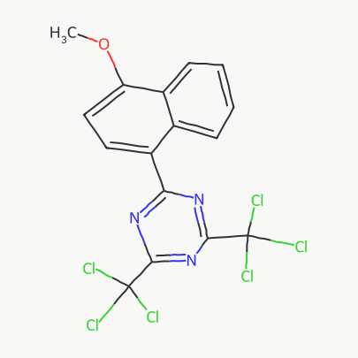 COc1ccc(-c2nc(C(Cl)(Cl)Cl)nc(C(Cl)(Cl)Cl)n2)c2ccccc12